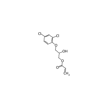 C=CC(=O)OCC(O)COc1ccc(Cl)cc1Cl